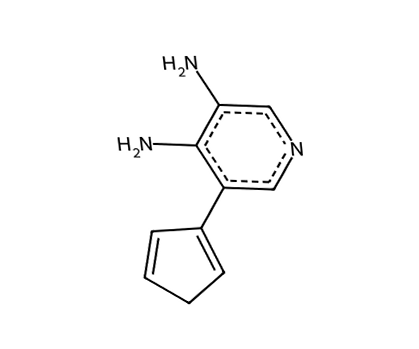 Nc1cncc(C2=CCC=C2)c1N